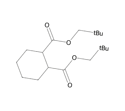 CC(C)(C)COC(=O)C1CCCCC1C(=O)OCC(C)(C)C